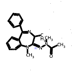 CC(=O)N(C)/N=C1\C(C)N=C(c2ccccc2)c2ccccc2N1C